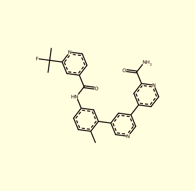 Cc1ccc(NC(=O)c2ccnc(C(C)(C)F)c2)cc1-c1cncc(-c2ccnc(C(N)=O)c2)c1